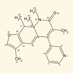 CC1=C(c2cccnc2)C2=Cc3c(C)coc3C(C)C2(C)N(C)C1=O